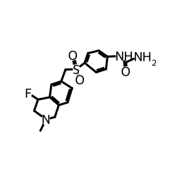 CN1Cc2ccc(CS(=O)(=O)c3ccc(NC(N)=O)cc3)cc2C(F)C1